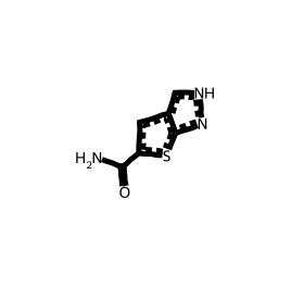 NC(=O)c1cc2c[nH]nc2s1